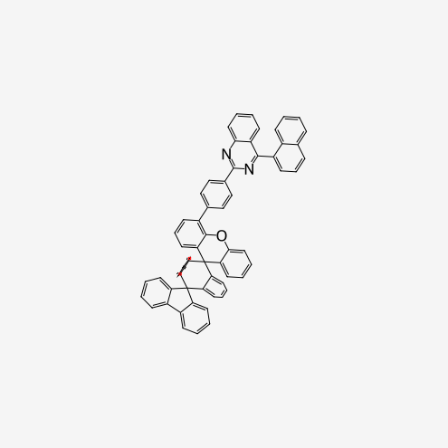 c1ccc2c(c1)Oc1c(-c3ccc(-c4nc(-c5cccc6ccccc56)c5ccccc5n4)cc3)cccc1C21c2ccccc2C2(c3ccccc3-c3ccccc32)c2ccccc21